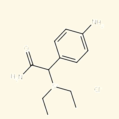 CC[S+](CC)C(C(N)=O)c1ccc(N)cc1.[Cl-]